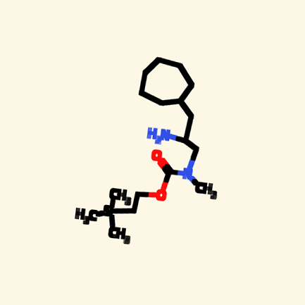 CN(CC(N)CC1CCCCCC1)C(=O)OCC[Si](C)(C)C